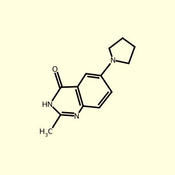 Cc1nc2ccc(N3CCCC3)cc2c(=O)[nH]1